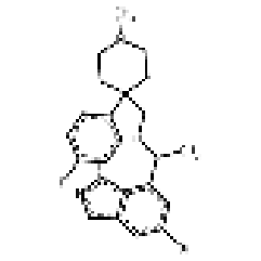 CC(OCC1(c2ccc(F)cc2)CCN(C)CC1)c1cc(Br)cc2cn[nH]c12